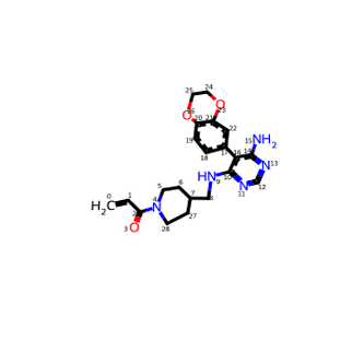 C=CC(=O)N1CCC(CNc2ncnc(N)c2-c2ccc3c(c2)OCCO3)CC1